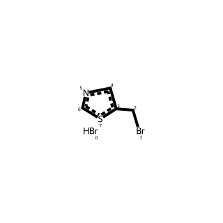 Br.BrCc1cncs1